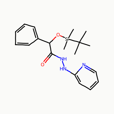 CC(C)(C)[Si](C)(C)OC(C(=O)NNc1ccccn1)c1ccccc1